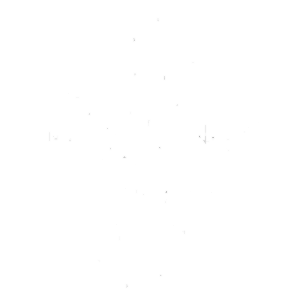 C=CC(C(=Cc1ccccc1)OC(=O)C(=C)C(C)(C)C)C1NC(=O)CCC1C(=O)OC1CCCO1